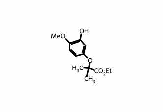 CCOC(=O)C(C)(C)Oc1ccc(OC)c(O)c1